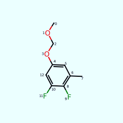 COCOc1cc(C)c(F)c(F)c1